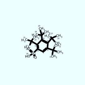 CC(C)(C)c1cc(S(=O)(=O)O)c(C(C)(C)C)c(C(C)(C)C)c1C(C)(C)C